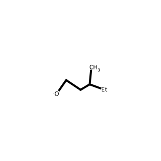 [CH2]CC(C)CC[O]